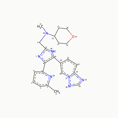 Cc1cccc(-c2nc(CN(C)C3CCOCC3)[nH]c2-c2ccc3ncnn3c2)n1